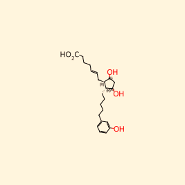 O=C(O)CCCC=CC[C@@H]1[C@@H](CCCCCc2cccc(O)c2)[C@H](O)C[C@@H]1O